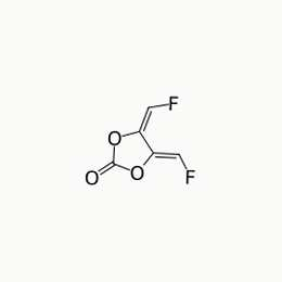 O=c1oc(=C\F)/c(=C\F)o1